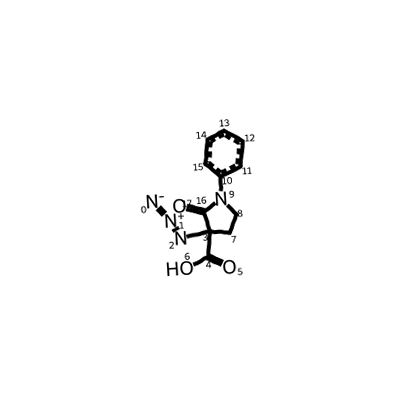 [N-]=[N+]=NC1(C(=O)O)CCN(c2ccccc2)C1=O